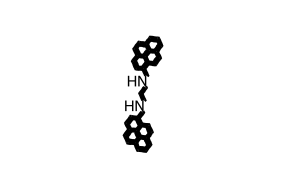 c1cc2ccc3ccc(CNCCCNCc4ccc5ccc6cccc7ccc4c5c67)c4ccc(c1)c2c34